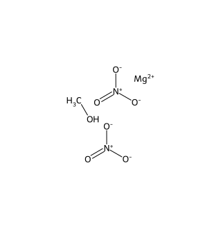 CO.O=[N+]([O-])[O-].O=[N+]([O-])[O-].[Mg+2]